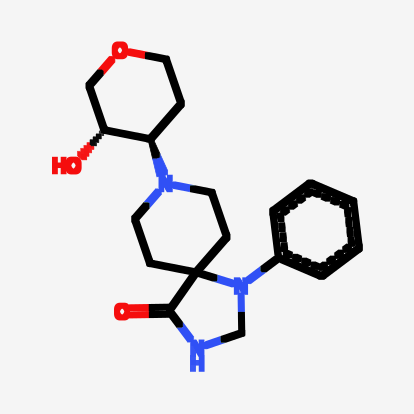 O=C1NCN(c2ccccc2)C12CCN([C@@H]1CCOC[C@H]1O)CC2